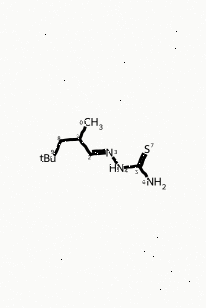 CC(C=NNC(N)=S)CC(C)(C)C